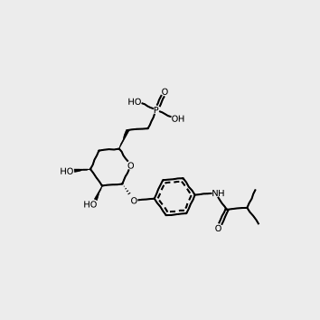 CC(C)C(=O)Nc1ccc(O[C@H]2O[C@H](CCP(=O)(O)O)C[C@H](O)[C@@H]2O)cc1